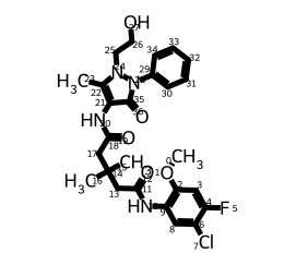 COc1cc(F)c(Cl)cc1NC(=O)CC(C)(C)CC(=O)Nc1c(C)n(CCO)n(-c2ccccc2)c1=O